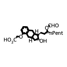 CCCCC[C@@H](CC[C@@H]1[C@H]2Cc3cccc(OCC(=O)O)c3C[C@H]2C[C@H]1O)OC=O